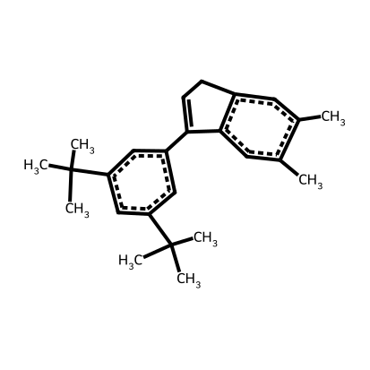 Cc1cc2c(cc1C)C(c1cc(C(C)(C)C)cc(C(C)(C)C)c1)=CC2